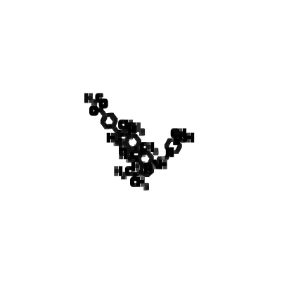 C=C(C)[C@@H]1CC[C@]2(NCCN3CCS(O)(O)CC3)CC[C@]3(C)[C@H](CC[C@@H]4[C@@]5(C)CC=C(c6ccc(C(=O)OC)cc6)C(C)(C)[C@@H]5CC[C@]43C)[C@@H]12